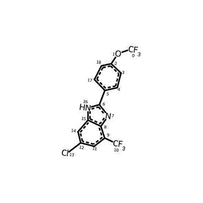 FC(F)(F)Oc1ccc(-c2nc3c(C(F)(F)F)cc(Cl)cc3[nH]2)cc1